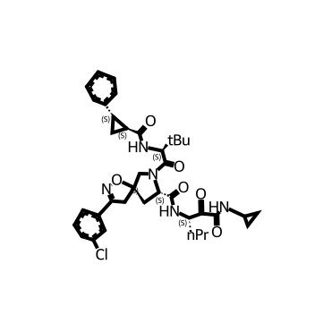 CCC[C@H](NC(=O)[C@@H]1C[C@]2(CC(c3cccc(Cl)c3)=NO2)CN1C(=O)[C@@H](NC(=O)[C@H]1C[C@@H]1c1ccccc1)C(C)(C)C)C(=O)C(=O)NC1CC1